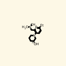 CCc1ccc(N2CCC[C@H](O)C2)c(CN(C)C)n1